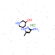 Cc1cc(N)n[nH]1.Cl.OC1CCCNC1